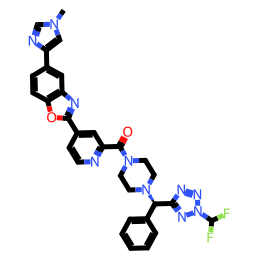 Cn1cnc(-c2ccc3oc(-c4ccnc(C(=O)N5CCN([C@H](c6ccccc6)c6nnn(C(F)F)n6)CC5)c4)nc3c2)c1